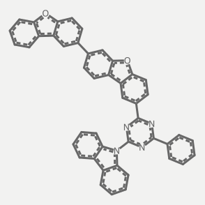 c1ccc(-c2nc(-c3ccc4oc5cc(-c6ccc7oc8ccccc8c7c6)ccc5c4c3)nc(-n3c4ccccc4c4ccccc43)n2)cc1